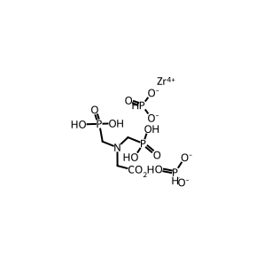 O=C(O)CN(CP(=O)(O)O)CP(=O)(O)O.O=[PH]([O-])[O-].O=[PH]([O-])[O-].[Zr+4]